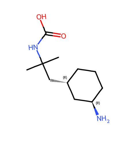 CC(C)(C[C@@H]1CCC[C@@H](N)C1)NC(=O)O